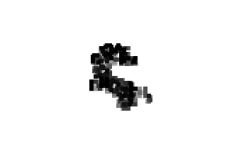 CCCCCC/C(=N\OC(C)=O)C(=O)c1ccc(N(CC)c2ccc(C(=O)c3ccccc3C)cc2)cc1